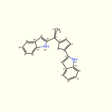 C=C(C1=CC=C(c2cc3ccccc3[nH]2)C1)c1cc2ccccc2[nH]1